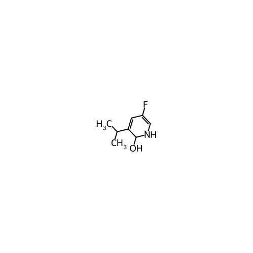 CC(C)C1=CC(F)=CNC1O